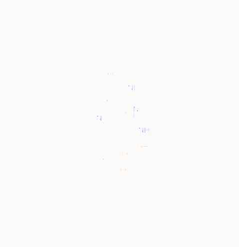 COC(=O)C1=C(C)NC(C(C)NCC(C)(C)NCC(O)COc2ccccc2OC)=C(C(=O)OC)C1c1cccc([N+](=O)[O-])c1